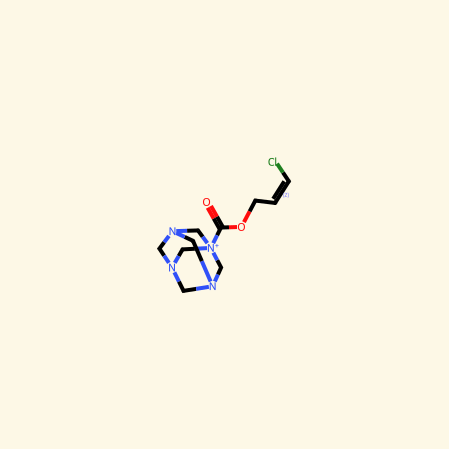 O=C(OC/C=C\Cl)[N+]12CN3CN(CN(C3)C1)C2